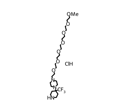 COCCOCCOCCOCCOCCOCCOCCN1CCN(C2(C(F)(F)F)CCNCC2)CC1.Cl